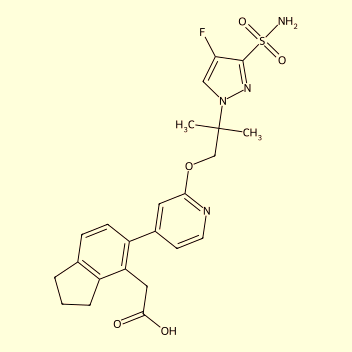 CC(C)(COc1cc(-c2ccc3c(c2CC(=O)O)CCC3)ccn1)n1cc(F)c(S(N)(=O)=O)n1